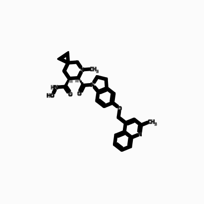 Cc1cc(COc2ccc3c(c2)CCN3C(=O)[C@@H]2[C@@H](C(=O)NO)CC3(CC3)CN2C)c2ccccc2n1